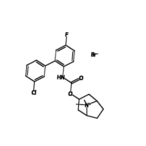 C[N+]1(C)C2CCC1CC(OC(=O)Nc1ccc(F)cc1-c1cccc(Cl)c1)C2.[Br-]